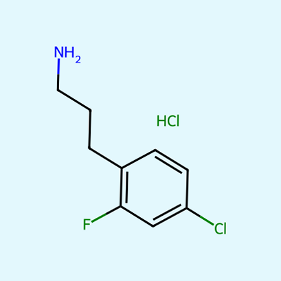 Cl.NCCCc1ccc(Cl)cc1F